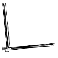 O.O.O.O.O.O.[K+].[K+].[K+].[K+].[K+].[K+].[K+].[K+].[K+].[K+].[K+].[K+].[K+].[K+].[K+].[K+].[K+].[K+].[K+].[K+].[K+].[K+].[K+].[K+].[K+].[K+].[K+].[K+].[K+].[K+].[K+].[K+].[K+].[K+].[K+].[K+].[K+].[K+].[K+].[K+].[K+].[K+].[K+].[K+].[K+].[K+].[K+].[K+].[K+].[K+].[K+].[K+].[K+].[K+].[K+].[K+].[K+].[K+].[K+].[K+].[K+].[K+].[K+].[K+].[K+].[K+].[K+].[K+].[K+].[K+].[K+].[K+].[K+].[K+].[K+].[K+].[K+].[K+].[K+].[K+].[K+].[K+].[K+].[K+].[K+].[K+].[K+]